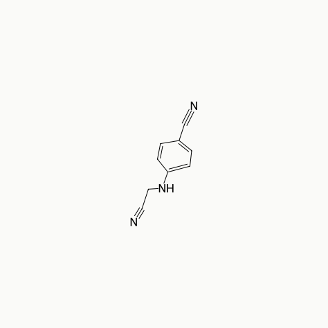 N#CCNc1ccc(C#N)cc1